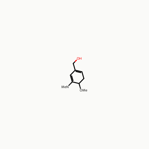 CNC1=CC(CO)=CCC1OC